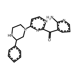 Nc1ncccc1C(=O)c1nccc(N2CCNC(c3ccccc3)C2)n1